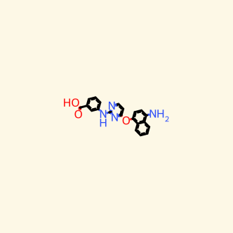 Nc1ccc(Oc2ccnc(Nc3cccc(C(=O)O)c3)n2)c2ccccc12